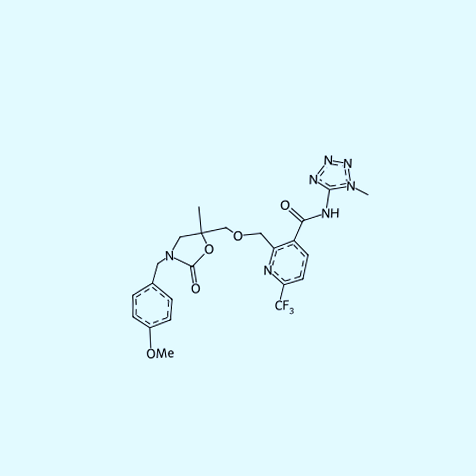 COc1ccc(CN2CC(C)(COCc3nc(C(F)(F)F)ccc3C(=O)Nc3nnnn3C)OC2=O)cc1